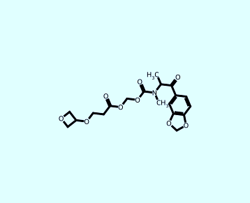 CC(C(=O)c1ccc2c(c1)OCO2)N(C)C(=O)OCOC(=O)CCOC1COC1